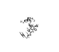 CCSc1ccc2c(c1)c(=O)c(C#N)cn2CCN(C)C